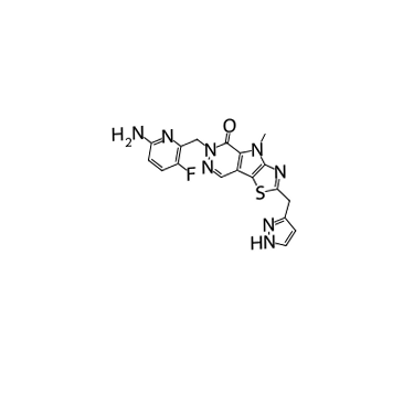 Cn1c2nc(Cc3cc[nH]n3)sc2c2cnn(Cc3nc(N)ccc3F)c(=O)c21